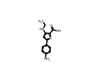 CCNc1cc(-c2ccc(N)cc2)sc1C(=O)O